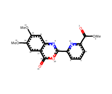 COC(=O)c1cccc(-c2nc3cc(OC)c(OC)cc3c(=O)o2)n1